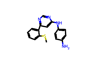 CSc1ccccc1-c1cc(Nc2ccc(N)cc2)ncn1